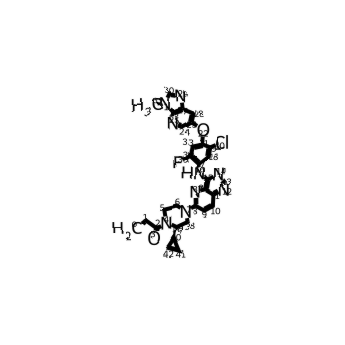 C=CC(=O)N1CCN(c2ccc3ncnc(Nc4cc(Cl)c(Oc5cnc6c(c5)ncn6C)cc4F)c3n2)C[C@H]1C1CC1